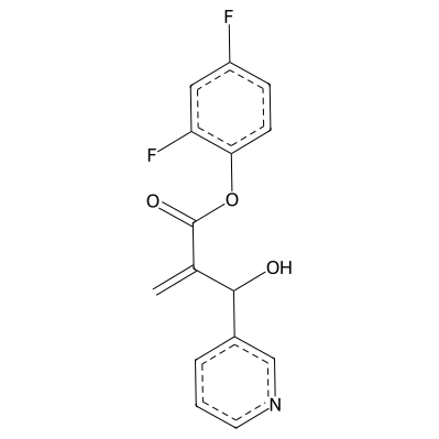 C=C(C(=O)Oc1ccc(F)cc1F)C(O)c1cccnc1